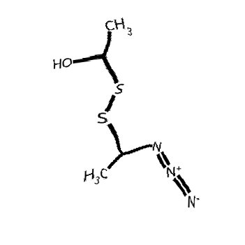 CC(O)SSC(C)N=[N+]=[N-]